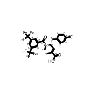 CC(=C[C@@H](Cc1ccc(Cl)cc1)[As](C)C(=O)c1cc(C(F)(F)F)cc(C(F)(F)F)c1)C(=O)O